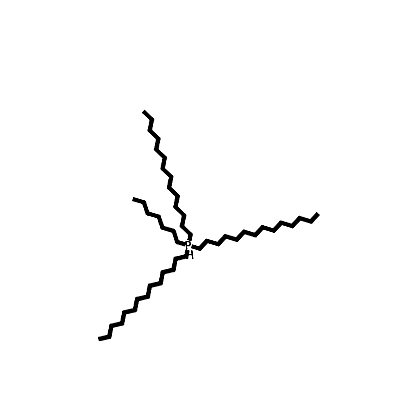 CCCCCCCCCCCCCC[PH](CCCCCCC)(CCCCCCCCCCCCCC)CCCCCCCCCCCCCC